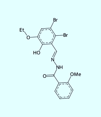 CCOc1cc(Br)c(Br)c(C=NNC(=O)c2ccccc2OC)c1O